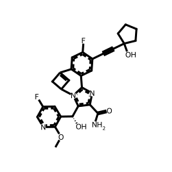 COc1ncc(F)cc1[C@@H](O)c1c(C(N)=O)nc2n1C1C=C(C1)c1cc(F)c(C#CC3(O)CCCC3)cc1-2